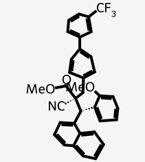 COC(=O)[C@@](C#N)(Cc1ccc(-c2cccc(C(F)(F)F)c2)cc1)[C@H](c1ccccc1OC)c1cccc2ccccc12